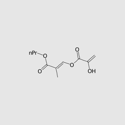 C=C(O)C(=O)OC=C(C)C(=O)OCCC